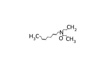 C=CCN(C/C=C/CC/C=C\CC)C(=O)CC